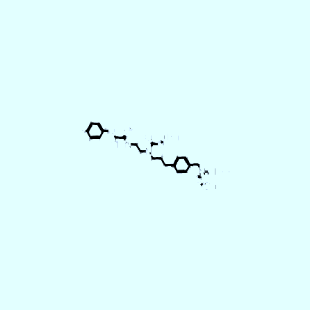 CC(C)(C)OC(=O)N(CCCc1ccc(CN(C=O)OC(C)(C)C)cc1)CCNC(=O)COc1ccccc1